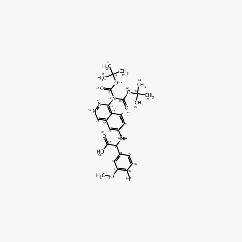 COc1cc(C(Nc2ccc3c(N(C(=O)OC(C)(C)C)C(=O)OC(C)(C)C)nncc3c2)C(=O)O)ccc1F